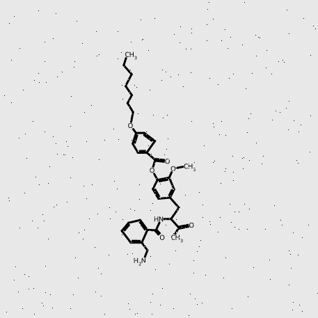 CCCCCCCOc1ccc(C(=O)Oc2ccc(CC(NC(=O)c3ccccc3CN)C(C)=O)cc2OC)cc1